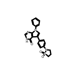 O=c1[nH]cnc2c1c(-c1ccc(N3CCCS3(=O)=O)cc1)cn2-c1ccccc1